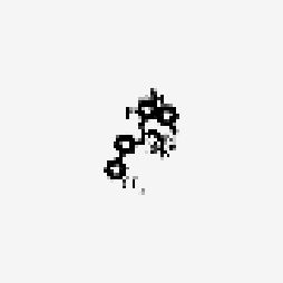 Nc1ccc(Cn2cnnc2CN(Cc2ccc(F)cc2F)C(=O)c2cccc(-c3cccc(C(F)(F)F)c3)c2)cc1